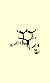 CCCC(C)C1(CC)C(=O)N=C([O-])NC1=O.CCO.CCO.N.[Na+]